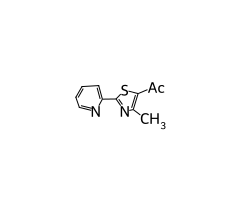 CC(=O)c1sc(-c2ccccn2)nc1C